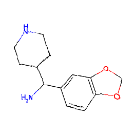 NC(c1ccc2c(c1)OCO2)C1CCNCC1